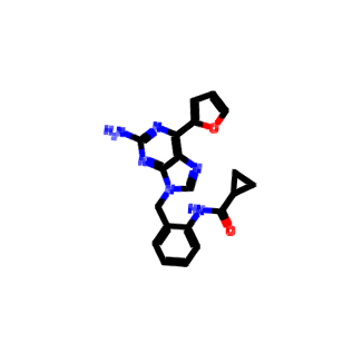 Nc1nc(-c2ccco2)c2ncn(Cc3ccccc3NC(=O)C3CC3)c2n1